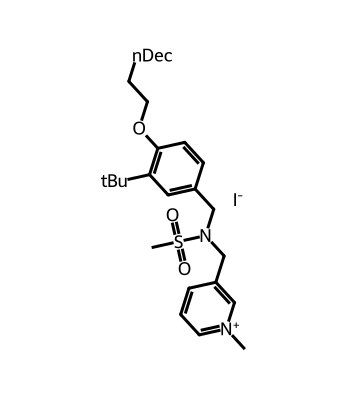 CCCCCCCCCCCCOc1ccc(CN(Cc2ccc[n+](C)c2)S(C)(=O)=O)cc1C(C)(C)C.[I-]